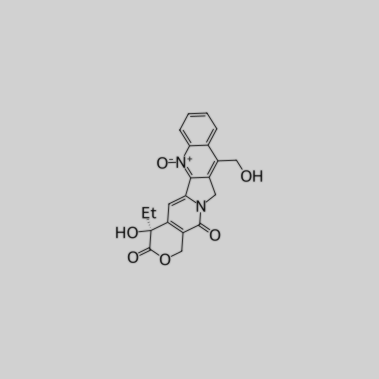 CC[C@@]1(O)C(=O)OCc2c1cc1n(c2=O)Cc2c(CO)c3ccccc3[n+]([O-])c2-1